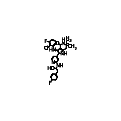 CC1(C)Cc2[nH]c(-c3ccnc(NC(O)Cc4ccc(F)cc4)c3)c(Nc3cccc(F)c3Cl)c2C(=O)N1